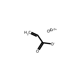 C=CC(=O)[O-].[Cr+3].[O-2]